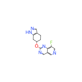 Fc1cncc2cnc(OC3CCc4cn[nH]c4C3)nc12